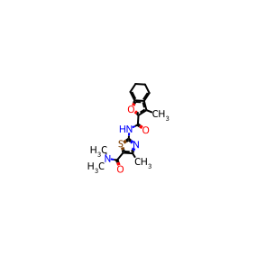 Cc1nc(NC(=O)c2oc3c(c2C)=CCCC=3)sc1C(=O)N(C)C